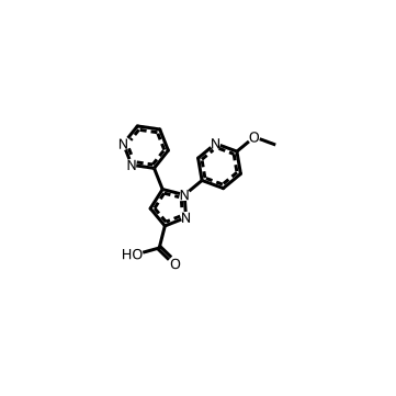 COc1ccc(-n2nc(C(=O)O)cc2-c2cccnn2)cn1